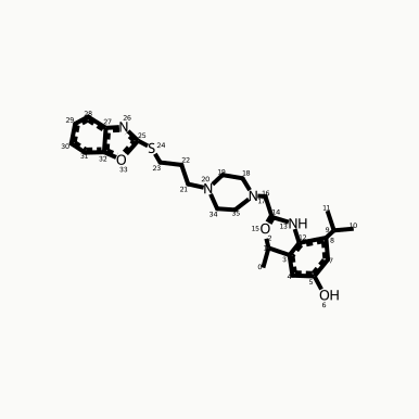 CC(C)c1cc(O)cc(C(C)C)c1NC(=O)CN1CCN(CCCSc2nc3ccccc3o2)CC1